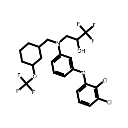 OC(CN(CC1CCCC(OC(F)(F)F)C1)c1cccc(Oc2cccc(Cl)c2Cl)c1)C(F)(F)F